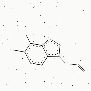 O=COc1c[nH]c2c(F)c(Cl)ccc12